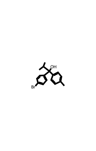 Cc1ccc(C(O)(c2ccc(Br)cc2)C(C)C)cc1